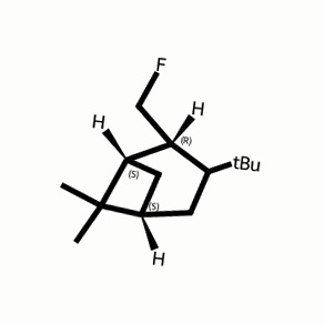 CC(C)(C)C1C[C@H]2C[C@@H]([C@@H]1CF)C2(C)C